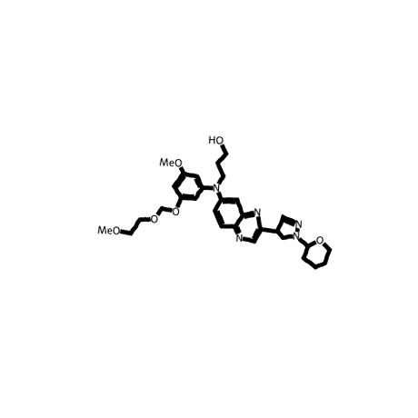 COCCOCOc1cc(OC)cc(N(CCCO)c2ccc3ncc(C4C=NN(C5CCCCO5)C4)nc3c2)c1